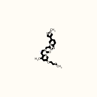 COCCOc1cnc(/C=C\N(C=O)Cc2nnc3ccc(-c4cnn(C)c4)cn23)c(C)c1